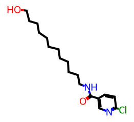 O=C(NCCCCCCCCCCCCO)c1ccc(Cl)nc1